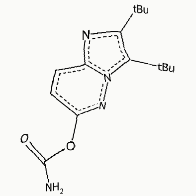 CC(C)(C)c1nc2ccc(OC(N)=O)nn2c1C(C)(C)C